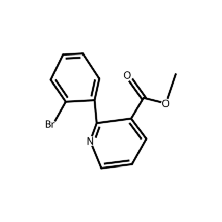 COC(=O)c1cccnc1-c1ccccc1Br